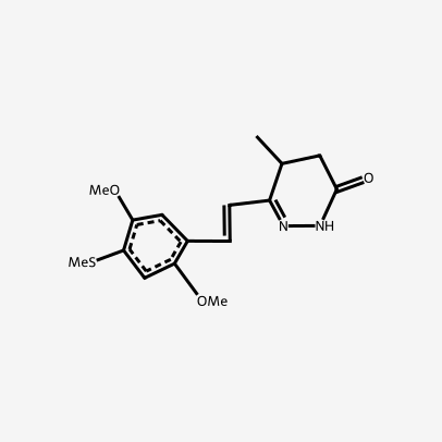 COc1cc(SC)c(OC)cc1C=CC1=NNC(=O)CC1C